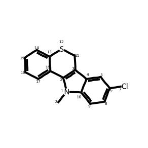 Cn1c2c(c3cc(Cl)ccc31)CSc1ccccc1-2